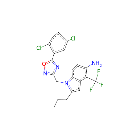 CCCc1cc2c(C(F)(F)F)c(N)ccc2n1Cc1noc(-c2cc(Cl)ccc2Cl)n1